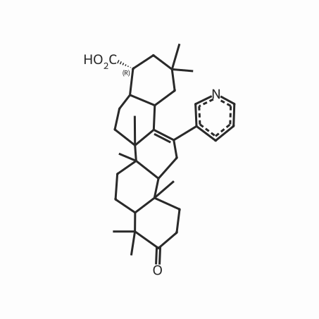 CC1(C)CC2C3=C(c4cccnc4)CC4C5(C)CCC(=O)C(C)(C)C5CCC4(C)C3(C)CCC2[C@H](C(=O)O)C1